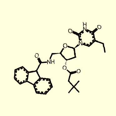 CCc1cn([C@H]2C[C@H](OC(=O)CC(C)(C)C)[C@@H](CNC(=O)C3c4ccccc4-c4ccccc43)O2)c(=O)[nH]c1=O